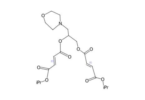 CC(C)OC(=O)/C=C/C(=O)OCC(CN1CCOCC1)OC(=O)/C=C/C(=O)OC(C)C